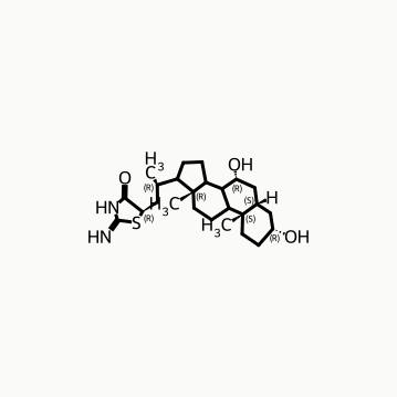 C[C@H](C[C@H]1SC(=N)NC1=O)C1CCC2C3C(CC[C@@]21C)[C@@]1(C)CC[C@@H](O)C[C@H]1C[C@H]3O